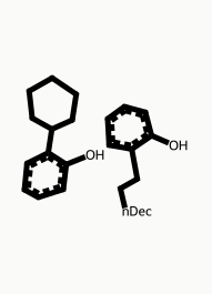 CCCCCCCCCCCCc1ccccc1O.Oc1ccccc1C1CCCCC1